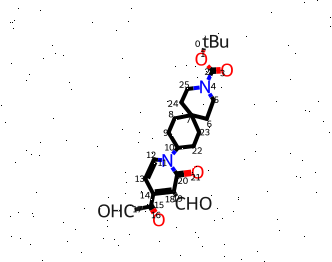 CC(C)(C)OC(=O)N1CCC2(CCC(n3ccc(C(=O)C=O)c(C=O)c3=O)CC2)CC1